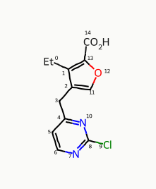 CCc1c(Cc2ccnc(Cl)n2)coc1C(=O)O